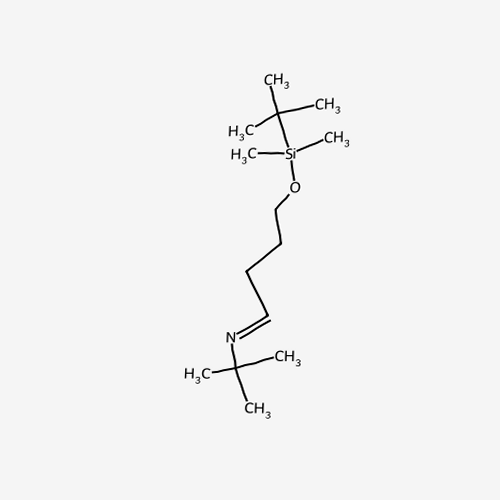 CC(C)(C)N=CCCCO[Si](C)(C)C(C)(C)C